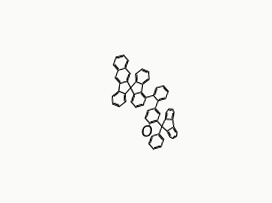 c1ccc2c(c1)Oc1ccc(-c3ccccc3-c3cccc4c3-c3ccccc3C43c4ccccc4-c4cc5ccccc5cc43)cc1C21c2ccccc2-c2ccccc21